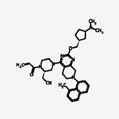 C=CC(=O)N1CCN(c2nc(OC[C@@H]3CCC(N(C)C)C3)nc3c2CCN(c2cccc4cccc(C)c24)C3)C[C@@H]1CC#N